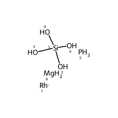 O[Si](O)(O)O.P.[MgH2].[Rh]